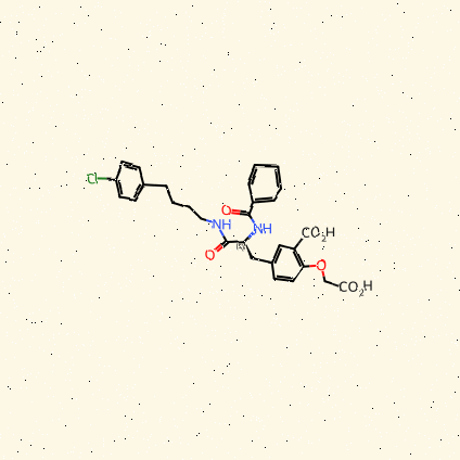 O=C(O)COc1ccc(C[C@H](NC(=O)c2ccccc2)C(=O)NCCCCc2ccc(Cl)cc2)cc1C(=O)O